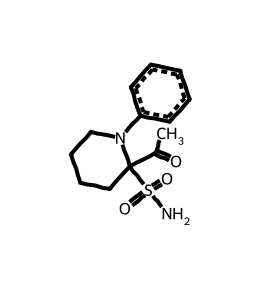 CC(=O)C1(S(N)(=O)=O)CCCCN1c1ccccc1